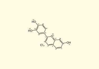 Oc1ccc2ccc(-c3ccc(O)c(O)c3)[o+]c2c1.[Cl-]